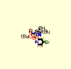 CC(C)(C)OC(=O)NS(=O)(=N[Si](C)(C)C(C)(C)C)c1cc(Br)ccn1